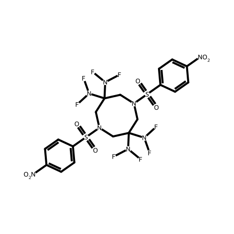 O=[N+]([O-])c1ccc(S(=O)(=O)N2CC(N(F)F)(N(F)F)CN(S(=O)(=O)c3ccc([N+](=O)[O-])cc3)CC(N(F)F)(N(F)F)C2)cc1